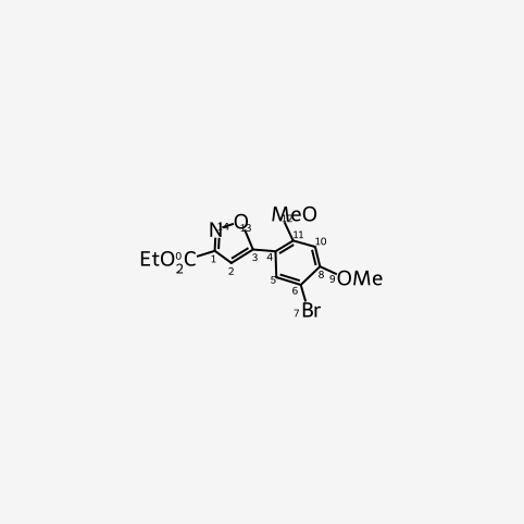 CCOC(=O)c1cc(-c2cc(Br)c(OC)cc2OC)on1